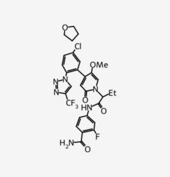 C1CCOC1.CCC(C(=O)Nc1ccc(C(N)=O)c(F)c1)n1cc(OC)c(-c2cc(Cl)ccc2-n2cc(C(F)(F)F)nn2)cc1=O